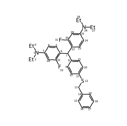 CCN(CC)c1ccc(C(c2ccc(SCc3ccccc3)cc2)c2ccc(N(CC)CC)cc2F)c(F)c1